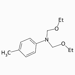 CCOCN(COCC)c1ccc(C)cc1